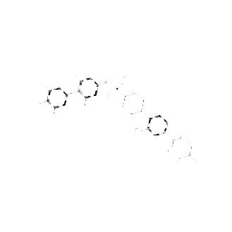 CC1COC(c2ccc(C3CCC(C(F)(F)Oc4cc(F)c(-c5cc(F)c(F)c(F)c5)c(F)c4)CC3)c(F)c2)OC1